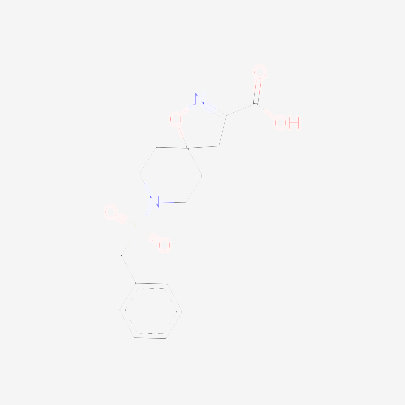 O=C(O)C1=NOC2(CCN(S(=O)(=O)Cc3ccccc3)CC2)C1